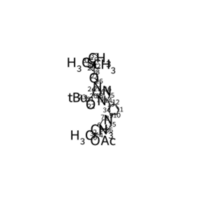 CC(=O)OC(C)(C)CN1CCN(c2cccc(-c3cnc4c(n3)c(C(=O)C(C)(C)C)cn4COCC[Si](C)(C)C)c2)CC1